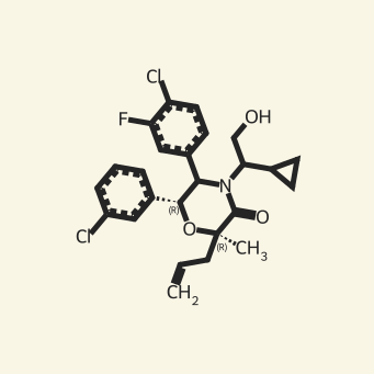 C=CC[C@@]1(C)O[C@H](c2cccc(Cl)c2)C(c2ccc(Cl)c(F)c2)N(C(CO)C2CC2)C1=O